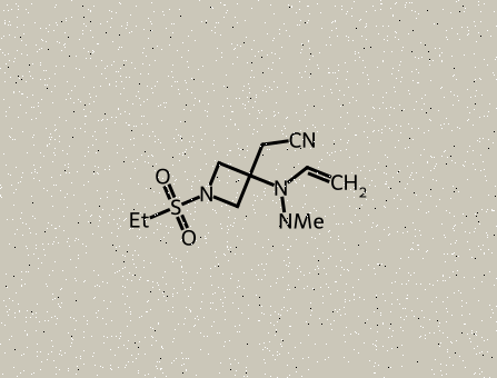 C=CN(NC)C1(CC#N)CN(S(=O)(=O)CC)C1